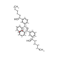 CCCCCC(O)c1cccc(C(OC(c2ccccc2)c2cccc(C(O)CCCCC)c2)c2ccccc2)c1